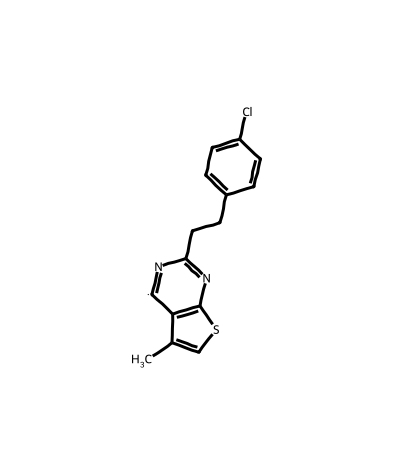 Cc1csc2nc(CCc3ccc(Cl)cc3)n[c]c12